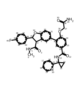 CNC(=O)C1c2cc(-c3cc(C(=O)NC4(c5ccccn5)CC4)ccc3OCC(N)=O)ccc2OC1c1ccc(F)cc1